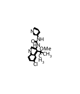 COC(C)(C)c1c(NC(=O)Nc2cccnc2)cnc2ccc(Cl)cc12